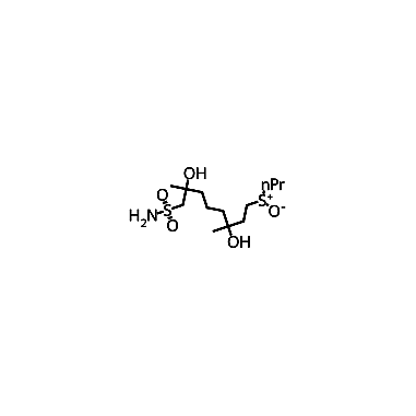 CCC[S+]([O-])CCC(C)(O)CCCC(C)(O)CS(N)(=O)=O